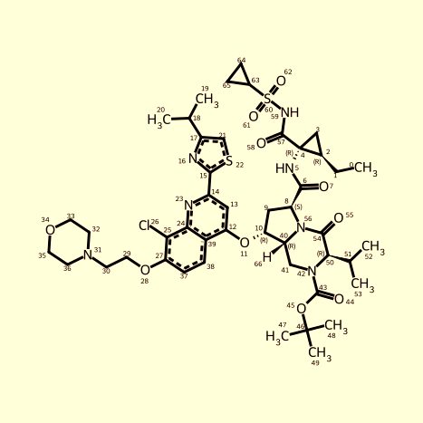 CC[C@@H]1C[C@]1(NC(=O)[C@@H]1C[C@@H](Oc2cc(-c3nc(C(C)C)cs3)nc3c(Cl)c(OCCN4CCOCC4)ccc23)[C@H]2CN(C(=O)OC(C)(C)C)[C@H](C(C)C)C(=O)N21)C(=O)NS(=O)(=O)C1CC1